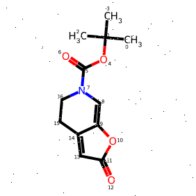 CC(C)(C)OC(=O)N1C=C2OC(=O)C=C2CC1